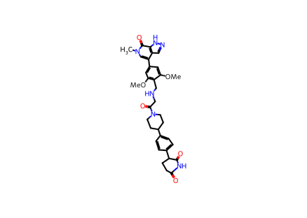 COc1cc(-c2cn(C)c(=O)c3[nH]ncc23)cc(OC)c1CNCC(=O)N1CCC(c2ccc(C3CCC(=O)NC3=O)cc2)CC1